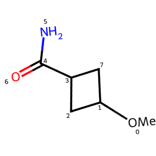 COC1CC(C(N)=O)C1